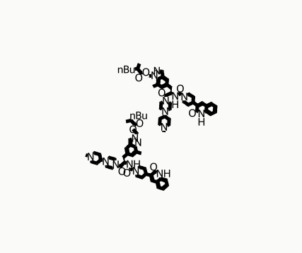 CCCCC(C)C(=O)OCn1cc2cc(C[C@@H](NC(=O)N3CCC(c4cc5ccccc5[nH]c4=O)CC3)C(=O)N3CCN(C4CCN(C)CC4)CC3)cc(C)c2n1.CCCCC(C)C(=O)OCn1ncc2cc(C[C@@H](NC(=O)N3CCC(c4cc5ccccc5[nH]c4=O)CC3)C(=O)N3CCN(C4CCN(C)CC4)CC3)cc(C)c21